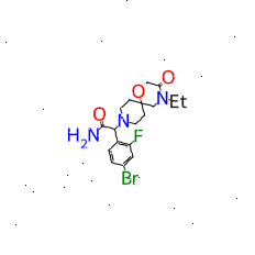 CCN1CC2(CCN(C(C(N)=O)c3ccc(Br)cc3F)CC2)OCC1=O